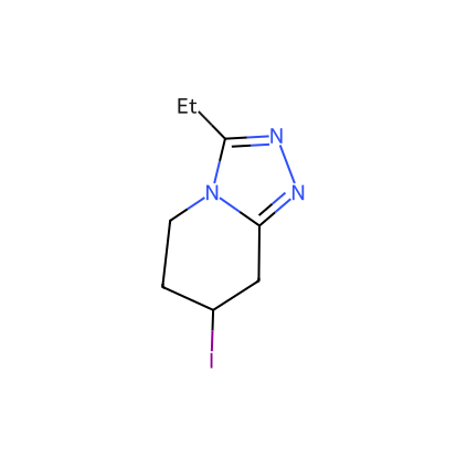 CCc1nnc2n1CCC(I)C2